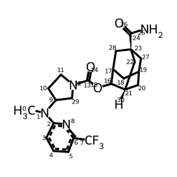 CN(c1cccc(C(F)(F)F)n1)C1CCN(C(=O)OC2C3CC4C[C@H]2C[C@@](C(N)=O)(C4)C3)C1